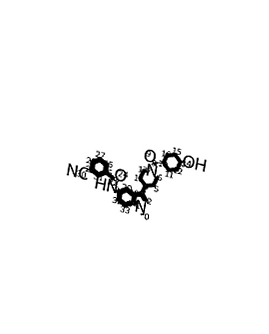 Cn1cc(C2CCN(C(=O)[C@H]3CC[C@@H](O)CC3)CC2)c2cc(NC(=O)c3cccc(C#N)c3)ccc21